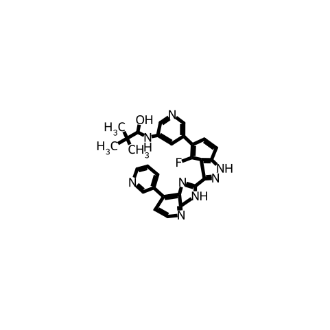 CC(C)(C)C(O)Nc1cncc(-c2ccc3[nH]nc(-c4nc5c(-c6cccnc6)ccnc5[nH]4)c3c2F)c1